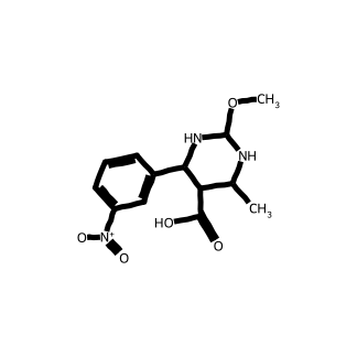 COC1NC(C)C(C(=O)O)C(c2cccc([N+](=O)[O-])c2)N1